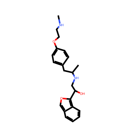 CNCCOc1ccc(CC(C)NCC(O)c2occ3ccccc23)cc1